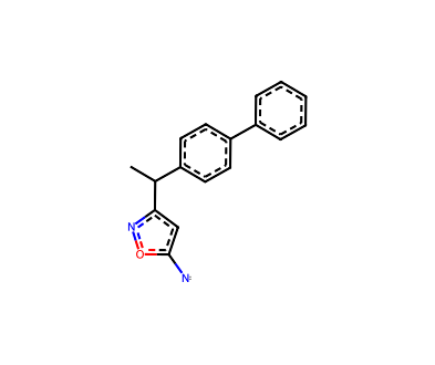 CC(c1ccc(-c2ccccc2)cc1)c1cc([N])on1